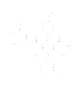 COC(=O)C1=C(C)N(c2cccc(C(F)(F)F)c2)C(N)=C(C(=O)OC(C)CC(C)O)C1c1ccc(C#N)cc1